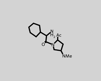 CNC1CC(C(C)=O)N(C(=O)C(N)C2CCCCC2)C1